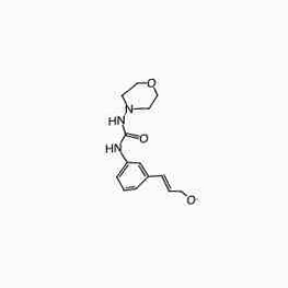 [O]CC=Cc1cccc(NC(=O)NN2CCOCC2)c1